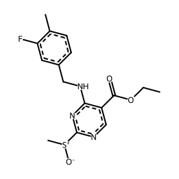 CCOC(=O)c1cnc([S+](C)[O-])nc1NCc1ccc(C)c(F)c1